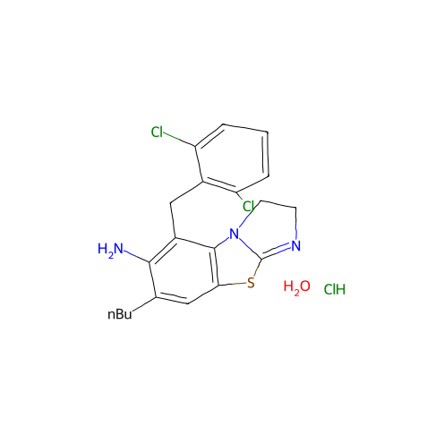 CCCCc1cc2c(c(Cc3c(Cl)cccc3Cl)c1N)N1CCN=C1S2.Cl.O